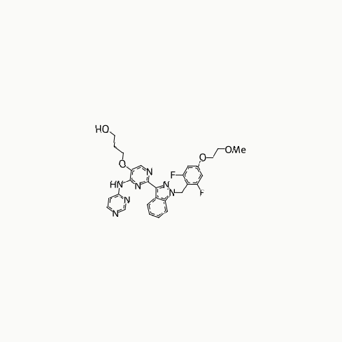 COCCOc1cc(F)c(Cn2nc(-c3ncc(OCCCO)c(Nc4ccncn4)n3)c3ccccc32)c(F)c1